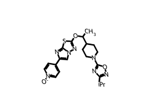 CC(C)c1noc(N2CCC(C(C)Oc3nn4cc(-c5cc[n+]([O-])cc5)nc4s3)CC2)n1